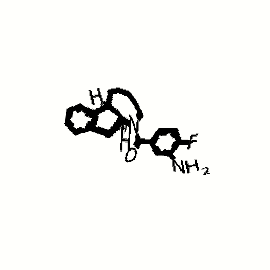 Nc1cc(C(=O)N2CCC[C@H]3c4ccccc4C[C@H]32)ccc1F